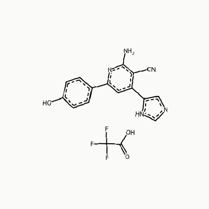 N#Cc1c(-c2cnc[nH]2)cc(-c2ccc(O)cc2)nc1N.O=C(O)C(F)(F)F